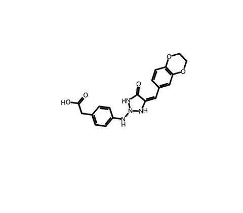 O=C(O)Cc1ccc(NN2NC(=O)C(=Cc3ccc4c(c3)OCCO4)N2)cc1